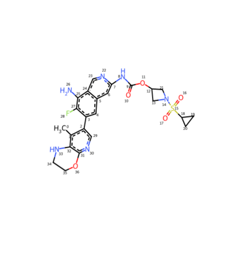 Cc1c(-c2cc3cc(NC(=O)OC4CN(S(=O)(=O)C5CC5)C4)ncc3c(N)c2F)cnc2c1NCCO2